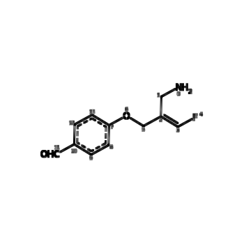 NC/C(=C\F)COc1ccc(C=O)cc1